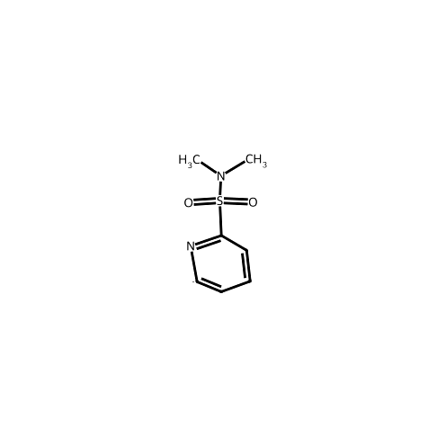 CN(C)S(=O)(=O)c1ccc[c]n1